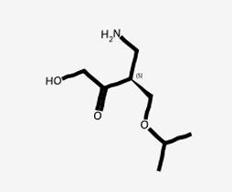 CC(C)OC[C@H](CN)C(=O)CO